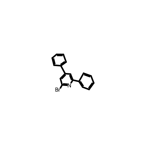 Brc1cc(-c2ccccc2)cc(-c2ccccc2)n1